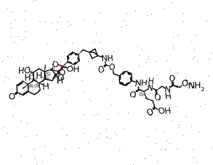 C[C@]12C=CC(=O)C=C1CC[C@@H]1[C@@H]2[C@@H](O)C[C@@]2(C)[C@H]1C[C@H]1O[C@H](c3ccc(CC45CC(NC(=O)OCc6ccc(NC(=O)[C@H](CCC(=O)O)NC(=O)CNC(=O)CON)cc6)(C4)C5)cc3)O[C@]12C(=O)CO